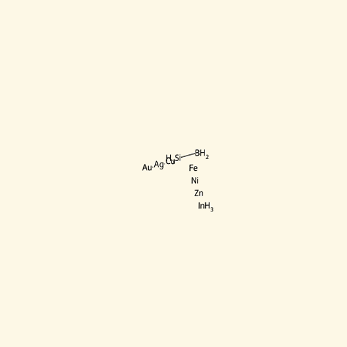 B[SiH3].[Ag].[Au].[Cu].[Fe].[InH3].[Ni].[Zn]